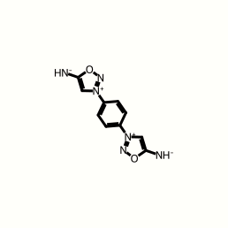 [NH-]c1c[n+](-c2ccc(-[n+]3cc([NH-])on3)cc2)no1